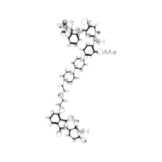 COc1cc(N2CCC(N3CCN(CCOCCOc4cccc5c4C(=O)N(C4CCC(=O)NC4=O)C5=O)CC3)CC2)ccc1Nc1ncc(Cl)c(Nc2ccccc2N(C)S(C)(=O)=O)n1